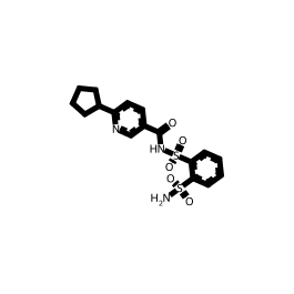 NS(=O)(=O)c1ccccc1S(=O)(=O)NC(=O)c1ccc(C2CCCC2)nc1